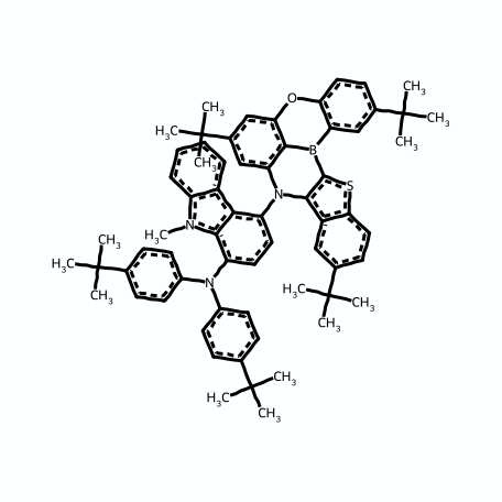 Cn1c2ccccc2c2c(N3c4cc(C(C)(C)C)cc5c4B(c4cc(C(C)(C)C)ccc4O5)c4sc5ccc(C(C)(C)C)cc5c43)ccc(N(c3ccc(C(C)(C)C)cc3)c3ccc(C(C)(C)C)cc3)c21